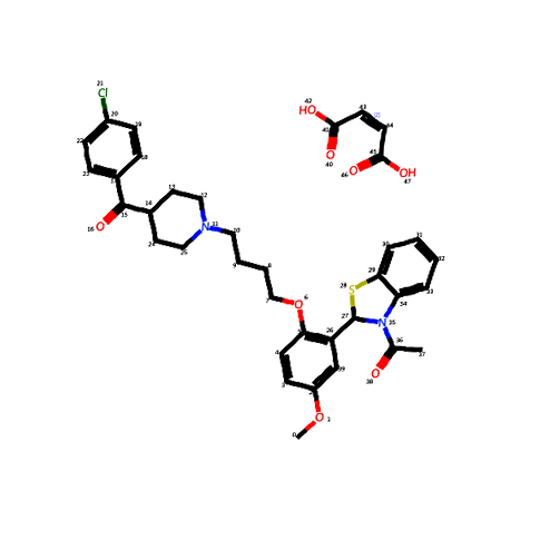 COc1ccc(OCCCCN2CCC(C(=O)c3ccc(Cl)cc3)CC2)c(C2Sc3ccccc3N2C(C)=O)c1.O=C(O)/C=C\C(=O)O